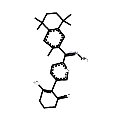 Cc1cc2c(cc1/C(=N/N)c1ccc(C3=C(O)CCCC3=O)cn1)C(C)(C)CCC2(C)C